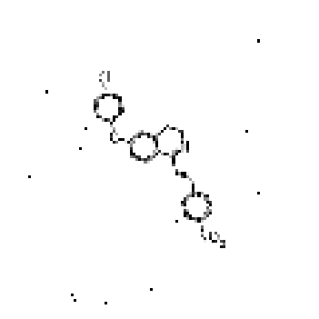 O=[N+]([O-])c1ccc(C=CC2=NCCc3cc(Oc4ccc(Cl)cc4)ccc32)cc1